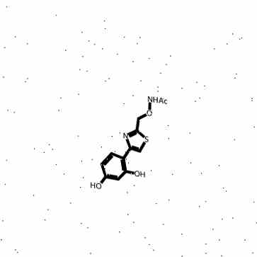 CC(=O)NOCc1nc(-c2ccc(O)cc2O)cs1